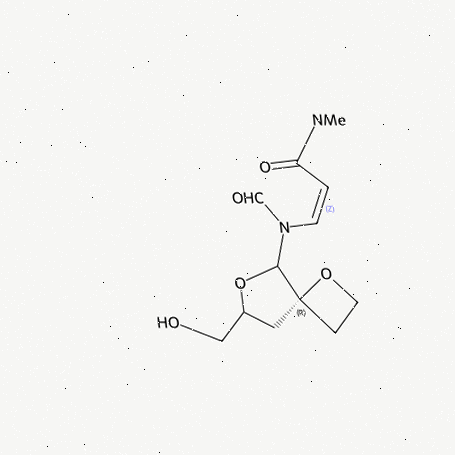 CNC(=O)/C=C\N(C=O)C1OC(CO)C[C@]12CCO2